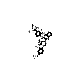 COc1ccc(N2CCN(c3nc4c(c(Nc5cc(C(C)(C)C)ccc5C)n3)CCC4)CC2(C)C)cc1